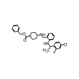 CC(Nc1ccccc1CNC1CCN(C(=O)OCc2ccccc2)CC1)c1ccc(Cl)cc1F